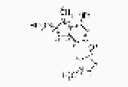 CC(C)c1cc(OC2CCN(C)C2)cc2cc(C(=O)O)n(C)c12